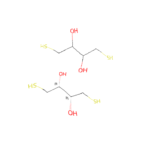 OC(CS)C(O)CS.O[C@@H](CS)[C@@H](O)CS